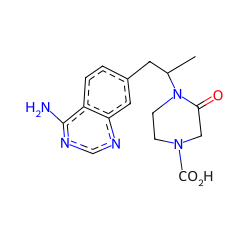 CC(Cc1ccc2c(N)ncnc2c1)N1CCN(C(=O)O)CC1=O